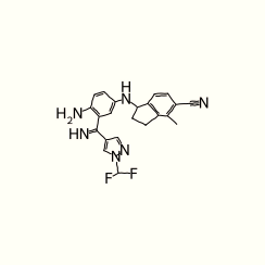 Cc1c(C#N)ccc2c1CCC2Nc1ccc(N)c(C(=N)c2cnn(C(F)F)c2)c1